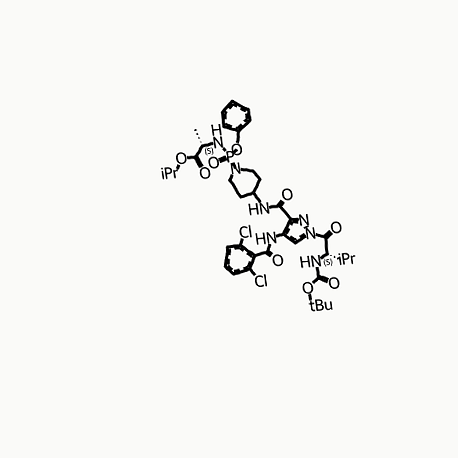 CC(C)OC(=O)[C@H](C)NP(=O)(Oc1ccccc1)N1CCC(NC(=O)c2nn(C(=O)[C@@H](NC(=O)OC(C)(C)C)C(C)C)cc2NC(=O)c2c(Cl)cccc2Cl)CC1